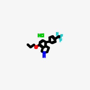 CCCOc1ccc(-c2ccc(C(F)(F)F)cc2)c2c1CNCC2.Cl